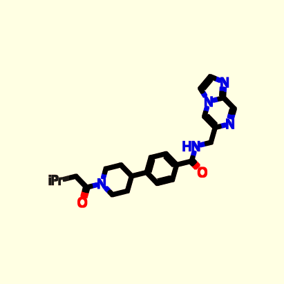 CC(C)CC(=O)N1CCC(c2ccc(C(=O)NCc3cn4ccnc4cn3)cc2)CC1